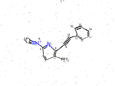 Bc1ccc([N+]#[C-])nc1C#Cc1ccccc1